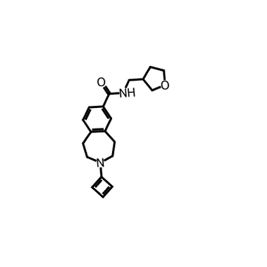 O=C(NCC1CCOC1)c1ccc2c(c1)CCN(C1=CC=C1)CC2